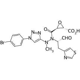 CN(c1cn(-c2ccc(Br)cc2)nn1)N(C(=O)[C@H]1O[C@@H]1C(=O)O)[C@H](C=O)Cc1cscn1